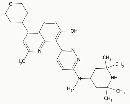 Cc1cc(C2CCOCC2)c2ccc(O)c(-c3ccc(N(C)C4CC(C)(C)NC(C)(C)C4)nn3)c2n1